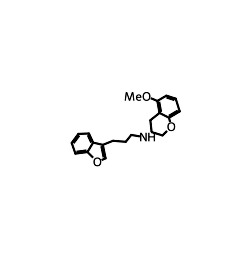 COc1cccc2c1CC(NCCCc1coc3ccccc13)CO2